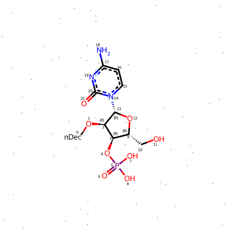 CCCCCCCCCCO[C@@H]1[C@H](OP(=O)(O)O)[C@@H](CO)O[C@H]1n1ccc(N)nc1=O